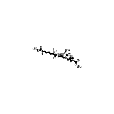 CC(C)(C)OC(=O)NCCCC[C@H](N)C(=O)NC[C@H](O)CN(CC1(O)CN(C(=O)OC(C)(C)C)C1)C(=O)OC(C)(C)C